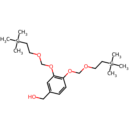 C[Si](C)(C)CCOCOc1ccc(CO)cc1OCOCC[Si](C)(C)C